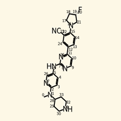 CN(c1ccc(Nc2nccc(-c3ccc(N4CC[C@H](F)C4)c(C#N)c3)n2)cn1)C1CCNCC1